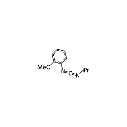 COc1ccccc1N=C=NC(C)C